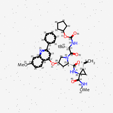 C=C[C@@H]1C[C@]1(NC(=O)[C@@H]1C[C@@H](Oc2cc(-c3ccccc3)nc3cc(OC)ccc23)CN1C(=O)[C@@H](NC(=O)OC1CCCC1)C(C)(C)C)C(=O)NOC